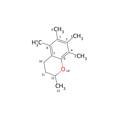 Cc1c(C)c(C)c2c(c1C)CCC(C)O2